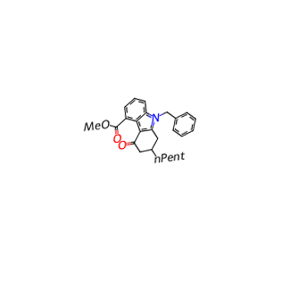 CCCCCC1CC(=O)c2c(n(Cc3ccccc3)c3cccc(C(=O)OC)c23)C1